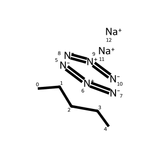 CCCCC.[N-]=[N+]=[N-].[N-]=[N+]=[N-].[Na+].[Na+]